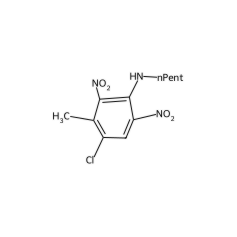 CCCCCNc1c([N+](=O)[O-])cc(Cl)c(C)c1[N+](=O)[O-]